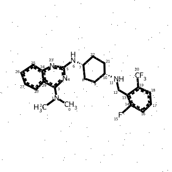 CN(C)c1nc(N[C@H]2CC[C@@H](NCc3c(F)cccc3C(F)(F)F)CC2)nc2ccccc12